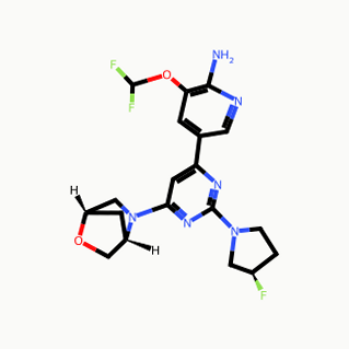 Nc1ncc(-c2cc(N3C[C@@H]4C[C@H]3CO4)nc(N3CC[C@@H](F)C3)n2)cc1OC(F)F